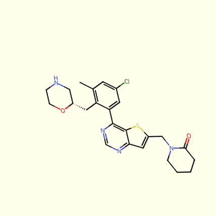 Cc1cc(Cl)cc(-c2ncnc3cc(CN4CCCCC4=O)sc23)c1C[C@H]1CNCCO1